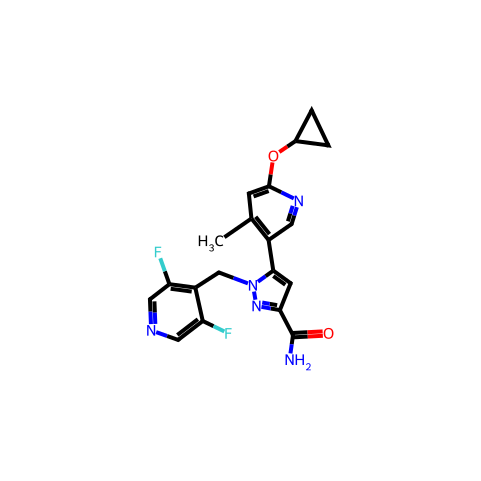 Cc1cc(OC2CC2)ncc1-c1cc(C(N)=O)nn1Cc1c(F)cncc1F